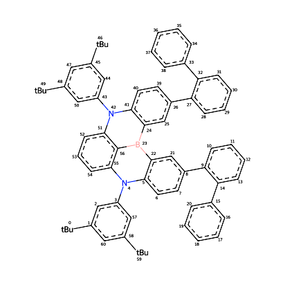 CC(C)(C)c1cc(N2c3ccc(-c4ccccc4-c4ccccc4)cc3B3c4cc(-c5ccccc5-c5ccccc5)ccc4N(c4cc(C(C)(C)C)cc(C(C)(C)C)c4)c4cccc2c43)cc(C(C)(C)C)c1